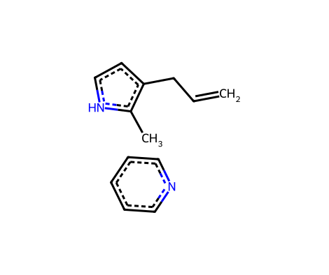 C=CCc1cc[nH]c1C.c1ccncc1